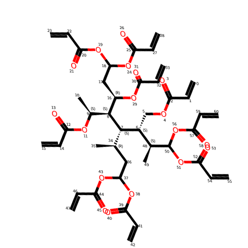 C=CC(=O)OC[C@@H]([C@@H]([C@@H]([C@H](C)OC(=O)C=C)[C@@H](CC(OC(=O)C=C)OC(=O)C=C)OC(=O)C=C)[C@H](C)CC(OC(=O)C=C)OC(=O)C=C)[C@H](C)C(OC(=O)C=C)OC(=O)C=C